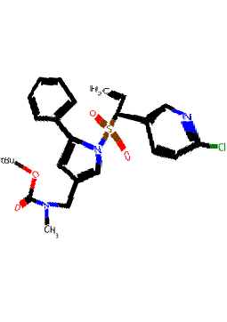 C=CC(c1ccc(Cl)nc1)S(=O)(=O)n1cc(CN(C)C(=O)OC(C)(C)C)cc1-c1ccccc1